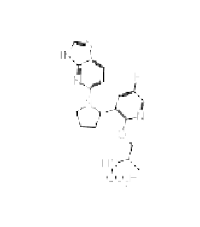 C[C@H](COc1ncc(F)cc1[C@H]1CCCN1c1ccc2nc[nH]c2n1)NC(=O)O